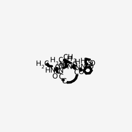 C=CCNC(=O)C(=O)[C@@H]1CCCCCCCCC[C@H](NC(=O)NC2([C@@H]3CCCS3(=O)=O)CCCCC2)C(=O)N2C[C@H]3[C@@H]([C@H]2C(=O)N1)C3(C)C